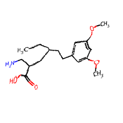 CCC(CCc1cc(OC)cc(OC)c1)CC(CN)C(=O)O